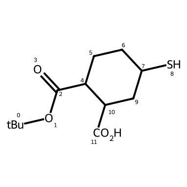 CC(C)(C)OC(=O)C1CCC(S)CC1C(=O)O